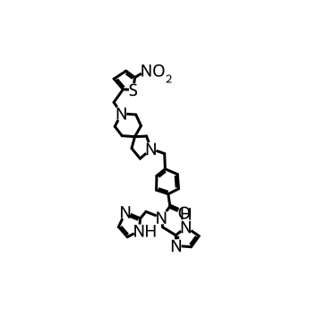 O=C(c1ccc(CN2CCC3(CCN(Cc4ccc([N+](=O)[O-])s4)CC3)C2)cc1)N(Cc1ncc[nH]1)Cc1ncc[nH]1